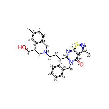 Cc1ccc(CN(CCCO)CCCc2nc3snc(C)c3c(=O)n2Cc2ccccc2)cc1